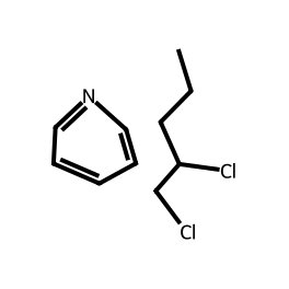 CCCC(Cl)CCl.c1ccncc1